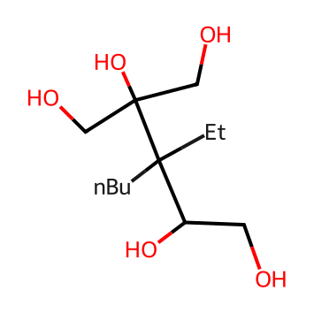 CCCCC(CC)(C(O)CO)C(O)(CO)CO